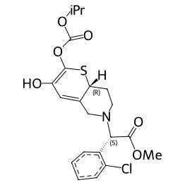 COC(=O)[C@H](c1ccccc1Cl)N1CC[C@H]2SC(OC(=O)OC(C)C)=C(O)C=C2C1